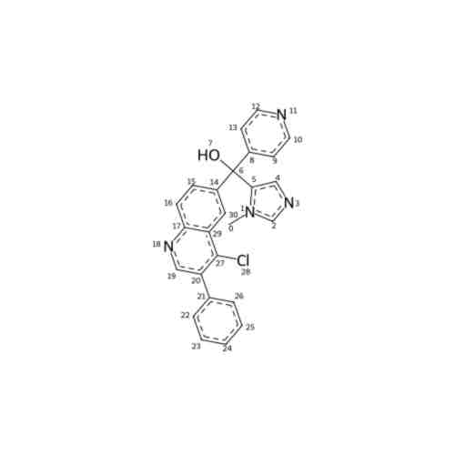 Cn1cncc1C(O)(c1ccncc1)c1ccc2ncc(-c3ccccc3)c(Cl)c2c1